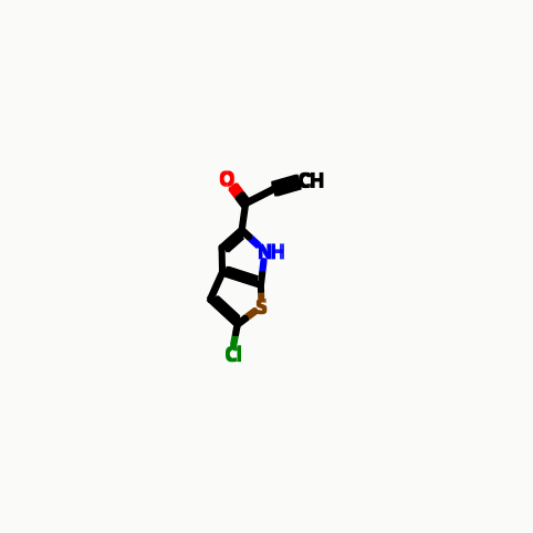 C#CC(=O)c1cc2cc(Cl)sc2[nH]1